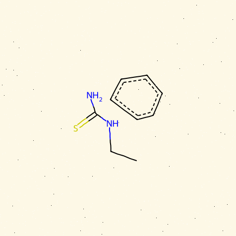 CCNC(N)=S.c1ccccc1